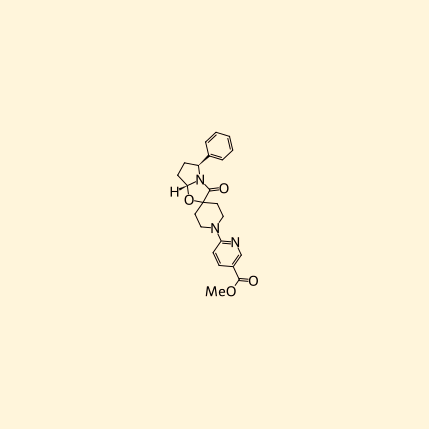 COC(=O)c1ccc(N2CCC3(CC2)O[C@@H]2CC[C@@H](c4ccccc4)N2C3=O)nc1